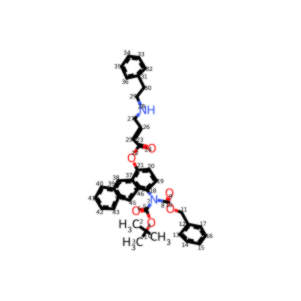 CC(C)(C)OC(=O)N(C(=O)OCc1ccccc1)c1ccc(OC(=O)/C=C/CNCCc2ccccc2)c2cc3ccccc3cc12